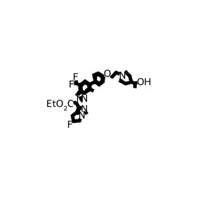 CCOC(=O)C(c1ncn2c1C[C@@H](F)C2)n1cc2c(C(F)F)cc(-c3ccc(OCCN4CCC(C(C)O)CC4)cc3)c(C)c2n1